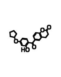 O=C1CCc2cc(C(=O)c3ccc(OC4CCCC4)cc3O)ccc2O1